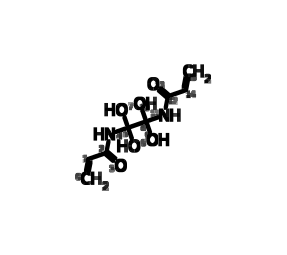 C=CC(=O)NC(O)(O)C(O)(O)NC(=O)C=C